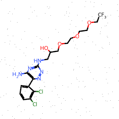 Nc1nc(NCC(O)COCCOCCOCC(F)(F)F)nnc1-c1cccc(Cl)c1Cl